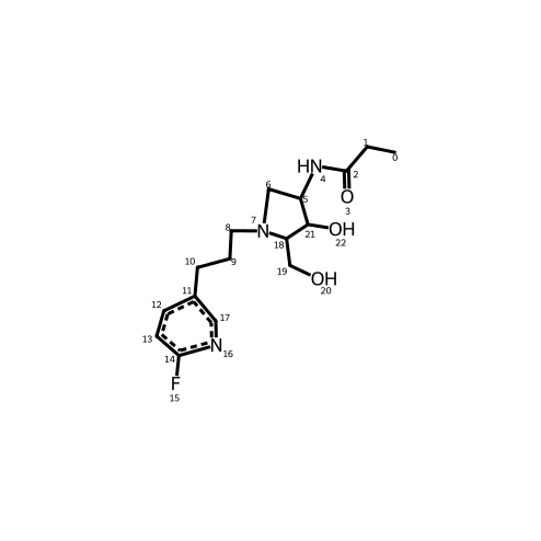 CCC(=O)NC1CN(CCCc2ccc(F)nc2)C(CO)C1O